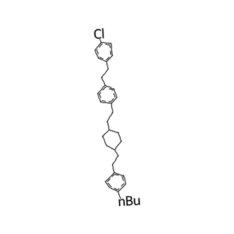 CCCCc1ccc(CCC2CCC(CCc3ccc(CCc4ccc(Cl)cc4)cc3)CC2)cc1